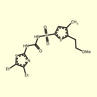 CCc1nc(NC(=O)NS(=O)(=O)c2cc(C)c(CCOC)s2)sc1CC